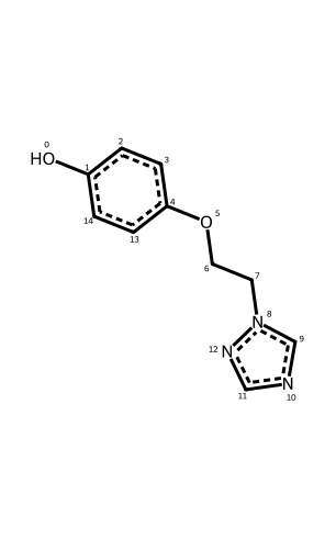 Oc1ccc(OCCn2cncn2)cc1